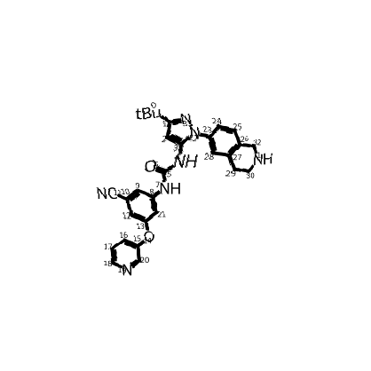 CC(C)(C)c1cc(NC(=O)Nc2cc(C#N)cc(Oc3cccnc3)c2)n(-c2ccc3c(c2)CCNC3)n1